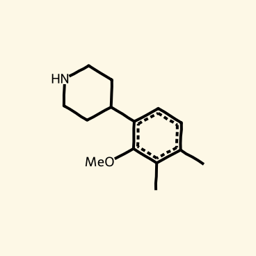 COc1c(C2CCNCC2)ccc(C)c1C